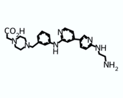 NCCNc1ccc(-c2ccnc(Nc3cccc(CN4CCN(CC(=O)O)CC4)c3)c2)cn1